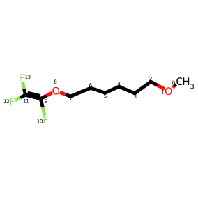 COCCCCCCOC(F)=C(F)F